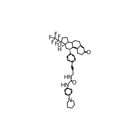 C[C@]12C[C@H](c3ccc(C#CCNC(=O)Nc4ccc(N5CCCCC5)cc4)cc3)C3=C4CCC(=O)C=C4CCC3C1CC[C@@]2(O)C(F)(F)C(F)(F)F